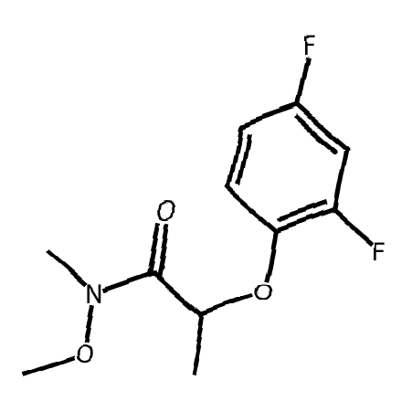 CON(C)C(=O)C(C)Oc1ccc(F)cc1F